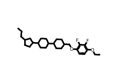 CCCC1CCC(C2CCC(C3CCC(COc4ccc(OCC)c(F)c4F)CC3)CC2)C1